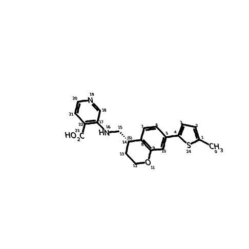 Cc1ccc(-c2ccc3c(c2)OCC[C@@H]3CNc2cnccc2C(=O)O)s1